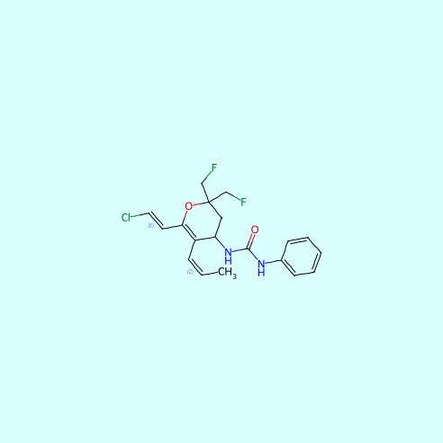 C/C=C\C1=C(/C=C/Cl)OC(CF)(CF)CC1NC(=O)Nc1ccccc1